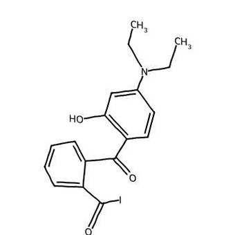 CCN(CC)c1ccc(C(=O)c2ccccc2C(=O)I)c(O)c1